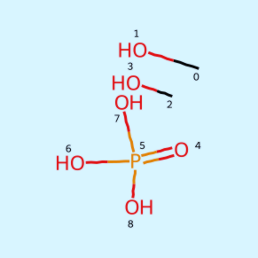 CO.CO.O=P(O)(O)O